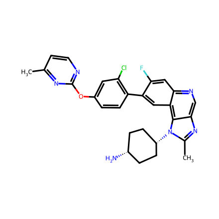 Cc1ccnc(Oc2ccc(-c3cc4c(cc3F)ncc3nc(C)n([C@H]5CC[C@@H](N)CC5)c34)c(Cl)c2)n1